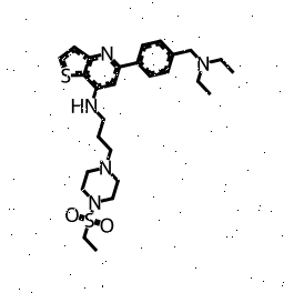 CCN(CC)Cc1ccc(-c2cc(NCCCN3CCN(S(=O)(=O)CC)CC3)c3sccc3n2)cc1